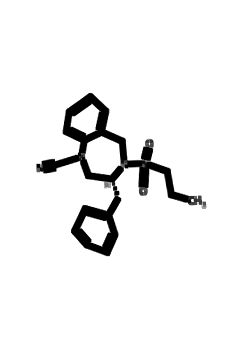 CCCS(=O)(=O)N1Cc2ccccc2N(C#N)C[C@H]1Cc1ccccc1